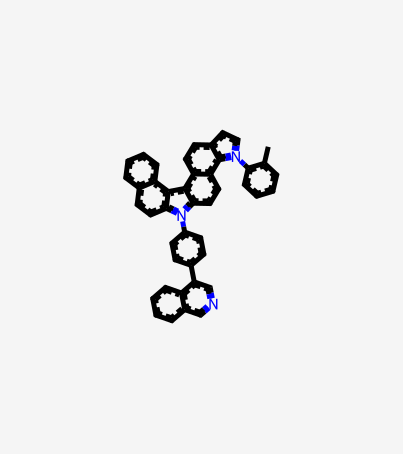 Cc1ccccc1-n1ccc2ccc3c(ccc4c3c3c5ccccc5ccc3n4-c3ccc(-c4cncc5ccccc45)cc3)c21